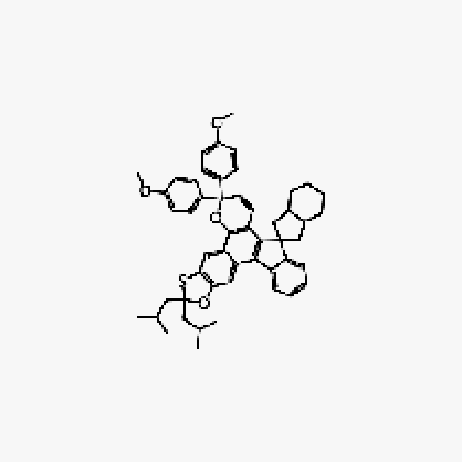 COc1ccc(C2(c3ccc(OC)cc3)C=Cc3c4c(c5cc6c(cc5c3O2)SC(CC(C)C)(CC(C)C)O6)-c2ccccc2C42CC3CCCCC3C2)cc1